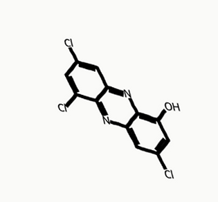 Oc1cc(Cl)cc2nc3c(Cl)cc(Cl)cc3nc12